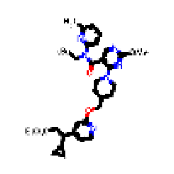 CCOC(=O)CC(c1ccnc(OCC2CCN(c3nc(OC)ncc3C(=O)N(CC(C)(C)C)c3cccc(C)n3)CC2)c1)C1CC1